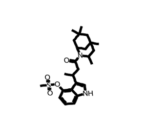 CC(CC(=O)N1C(C)CC2(C)CC1CC(C)(C)C2)c1c[nH]c2cccc(OS(C)(=O)=O)c12